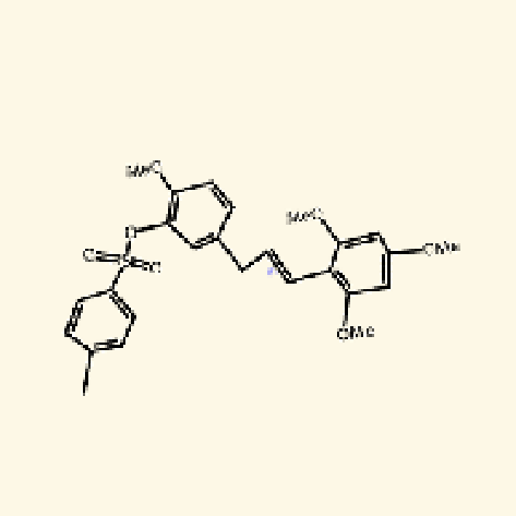 COc1cc(OC)c(/C=C/[CH]c2ccc(OC)c(OS(=O)(=O)c3ccc(C)cc3)c2)c(OC)c1